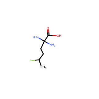 CC(F)CCC(N)(N)C(=O)O